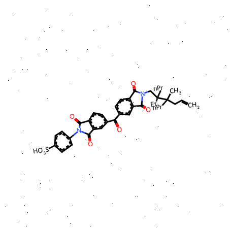 C=CCC(C)(CCC)C(CC)(CCC)CN1C(=O)c2ccc(C(=O)c3ccc4c(c3)C(=O)N(c3ccc(S(=O)(=O)O)cc3)C4=O)cc2C1=O